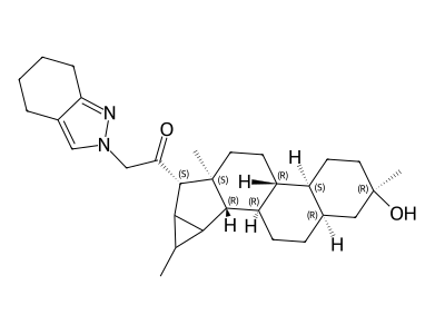 CC1C2C1[C@H]1[C@@H]3CC[C@@H]4C[C@](C)(O)CC[C@@H]4[C@H]3CC[C@]1(C)[C@H]2C(=O)Cn1cc2c(n1)CCCC2